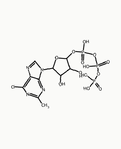 Cc1nc(Cl)c2ncn(C3OC(OP(=O)(O)OP(=O)(O)OP(=O)(O)O)C(O)C3O)c2n1